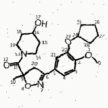 COc1ccc(C2=NOC(C)(C(=O)N3CCC(O)CC3)C2)cc1OC1CCCC1